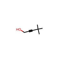 CC(C)(C)C#CCO